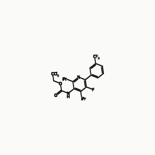 CC(C)c1nc(-c2cccc(C(F)(F)F)c2)c(F)c(C(C)C)c1NC(=O)OCC(Cl)(Cl)Cl